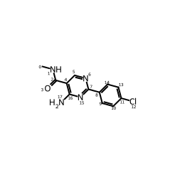 CNC(=O)c1cnc(-c2ccc(Cl)cc2)nc1N